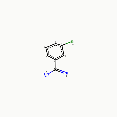 N=C(N)c1cccc(Br)c1